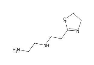 NCCNCCC1=NCCO1